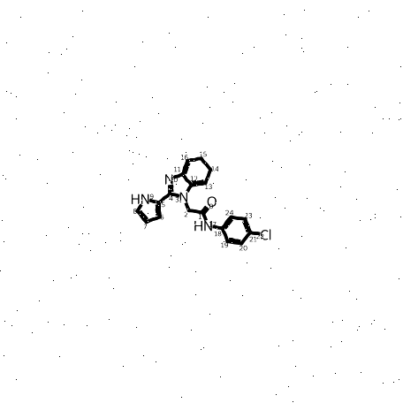 O=C(Cn1c(-c2ccc[nH]2)nc2c1=CCCC=2)Nc1ccc(Cl)cc1